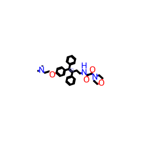 CN(C)CCOc1ccc(/C(=C(/CCNC(=O)C(=O)N2CCOCC2)c2ccccc2)c2ccccc2)cc1